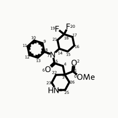 COC(=O)C1(CC(=O)N(c2ccccc2)C2CCCC(F)(F)C2)CCNCC1